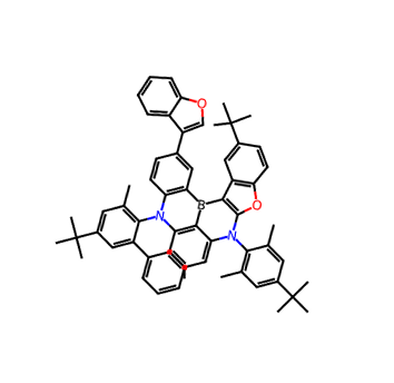 Cc1cc2c3c(c1)N(c1c(C)cc(C(C)(C)C)cc1C)c1oc4ccc(C(C)(C)C)cc4c1B3c1cc(-c3coc4ccccc34)ccc1N2c1c(C)cc(C(C)(C)C)cc1-c1ccccc1